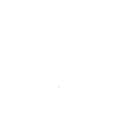 CC(C)(C)OC(=O)N1CC=C(C2=CCC(S(=O)(=O)NC3(C(=O)O)C[C@@H]3c3ccccc3)S2)CC1